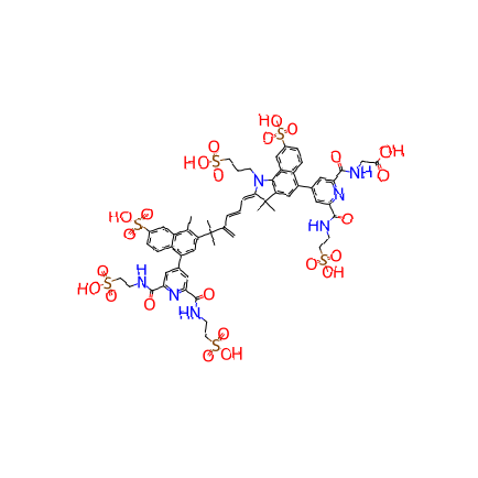 C=C(/C=C/C=C1/N(CCCS(=O)(=O)O)c2c(cc(-c3cc(C(=O)NCCS(=O)(=O)O)nc(C(=O)NCC(=O)O)c3)c3ccc(S(=O)(=O)O)cc23)C1(C)C)C(C)(C)c1cc(-c2cc(C(=O)NCCS(=O)(=O)O)nc(C(=O)NCCS(=O)(=O)O)c2)c2ccc(S(=O)(=O)O)cc2c1C